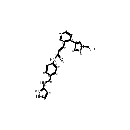 Cn1cc(-c2ccncc2C=CC(=O)Nc2ccc(CNc3cc[nH]n3)cc2)cn1